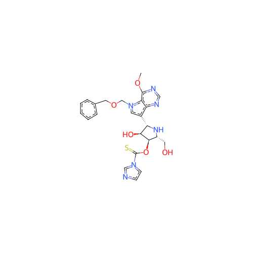 COc1ncnc2c([C@@H]3N[C@H](CO)[C@@H](OC(=S)n4ccnc4)[C@H]3O)cn(COCc3ccccc3)c12